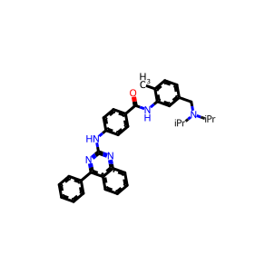 Cc1ccc(CN(C(C)C)C(C)C)cc1NC(=O)c1ccc(Nc2nc(-c3ccccc3)c3ccccc3n2)cc1